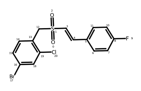 O=S(=O)(C=Cc1ccc(F)cc1)Cc1ccc(Br)cc1Cl